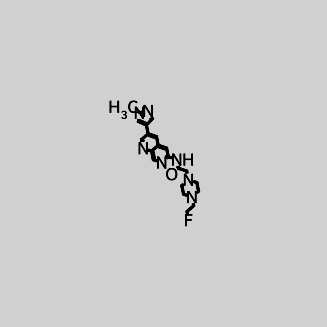 Cn1cc(-c2cnc3cnc(NC(=O)CN4CCN(CCF)CC4)cc3c2)cn1